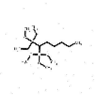 CCCCCC([Si](CC)(CC)OC)[Si](OC)(OC)OC